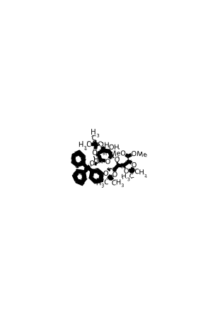 COC(OC)[C@@H]1OC(C)(C)O[C@H]1[C@H](O[C@@H]1O[C@H](COC(c2ccccc2)(c2ccccc2)c2ccccc2)[C@@H]2OC(C)(C)O[C@@H]2[C@H]1O)[C@H]1COC(C)(C)O1